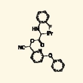 CC(C)C(Nc1ccccc1F)C(=O)OC(C#N)c1cccc(Oc2ccccc2)n1